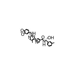 Cc1cccc([C@@H](CO)NC(=O)c2cnn(-c3nc(Nc4ccc5c(c4)OCO5)ncc3C)c2)c1